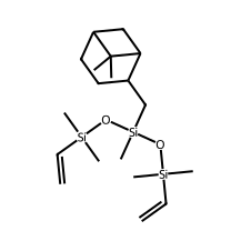 C=C[Si](C)(C)O[Si](C)(CC1CCC2CC1C2(C)C)O[Si](C)(C)C=C